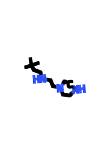 CC(C)(C)CCNCCN1CCNCC1